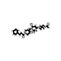 CC(=O)N1CC2(C1)CN(c1cc(=O)n(CC3(O)CCN(C(=O)CCc4ccccc4)CC3)cn1)C2